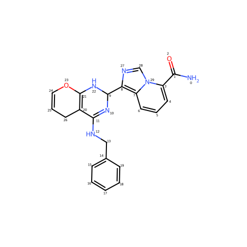 NC(=O)c1cccc2c(C3N=C(NCc4ccccc4)C4=C(N3)OC=CC4)ncn12